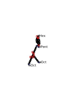 CCCCC/C=C\C(/C=C\CCCCCCCC(=O)OCC(COC(=O)CCCCCCC/C=C\CCCCCCCC)OC(=O)CCCCCCC/C=C\CCCCCCCC)OC1C=C2CC[C@H]3[C@@H]4CC[C@H](OC(=O)CCCCCC)[C@@]4(C)CC[C@@H]3[C@@]2(C)CC1